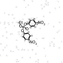 CCOP(=O)(Oc1ccc([N+](=O)[O-])cc1)Oc1ccc([N+](=O)[O-])cc1